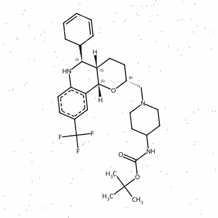 CC(C)(C)OC(=O)NC1CCN(C[C@H]2CC[C@@H]3[C@H](O2)c2cc(C(F)(F)F)ccc2N[C@H]3C2C=CC=CC2)CC1